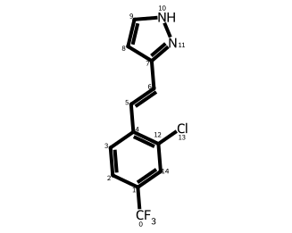 FC(F)(F)c1ccc(C=Cc2cc[nH]n2)c(Cl)c1